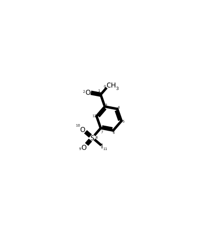 CC(=O)c1cccc(S(=O)(=O)I)c1